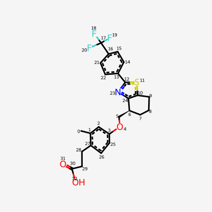 Cc1cc(OC[C@@H]2CCCc3sc(-c4ccc(C(F)(F)F)cc4)nc32)ccc1CCC(=O)O